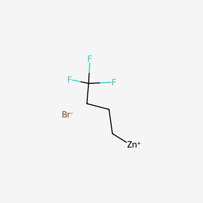 FC(F)(F)CC[CH2][Zn+].[Br-]